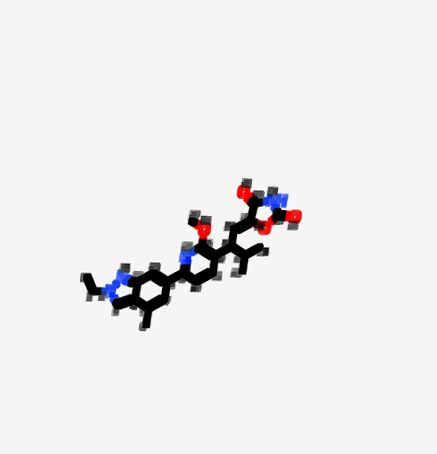 CCn1cc2c(C)cc(-c3ccc(C(C=C4OC(=O)NC4=O)C(C)C)c(OC)n3)cc2n1